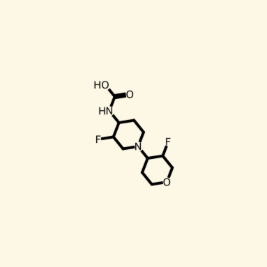 O=C(O)NC1CCN(C2CCOCC2F)CC1F